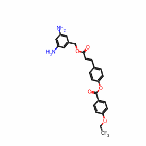 Nc1cc(N)cc(COC(=O)C=Cc2ccc(OC(=O)c3ccc(OCC(F)(F)F)cc3)cc2)c1